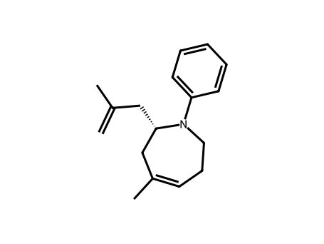 C=C(C)C[C@H]1CC(C)=CCCN1c1ccccc1